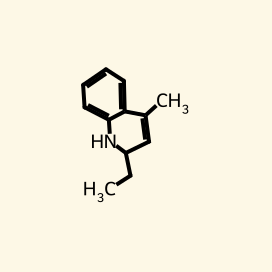 CCC1C=C(C)c2ccccc2N1